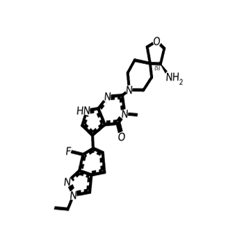 CCn1cc2ccc(-c3c[nH]c4nc(N5CCC6(CC5)COC[C@H]6N)n(C)c(=O)c34)c(F)c2n1